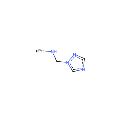 CCCNCn1cncn1